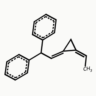 C/C=C1/C/C1=C\C(c1ccccc1)c1ccccc1